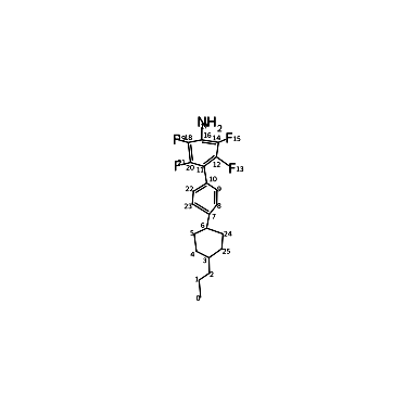 CCCC1CCC(c2ccc(-c3c(F)c(F)c(N)c(F)c3F)cc2)CC1